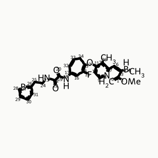 C=C(OC)/C(BC)=C\c1nccc(OC2=C(F)C=C(NC(=O)C(=O)NCCc3bcccc3)C=CC2)c1C